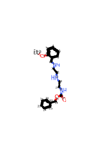 CCOc1ccccc1CNCCNCCNC(=O)OCc1ccccc1